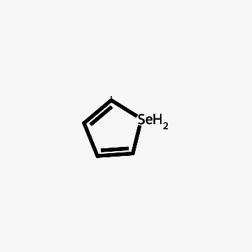 [C]1=CC=C[SeH2]1